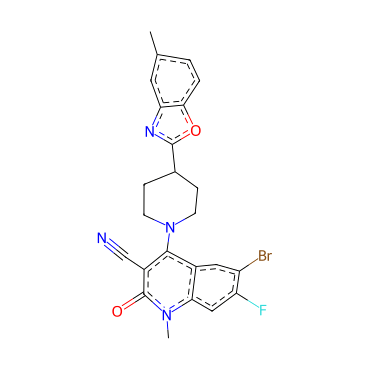 Cc1ccc2oc(C3CCN(c4c(C#N)c(=O)n(C)c5cc(F)c(Br)cc45)CC3)nc2c1